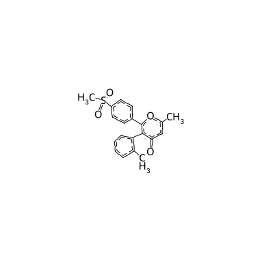 Cc1cc(=O)c(-c2ccccc2C)c(-c2ccc(S(C)(=O)=O)cc2)o1